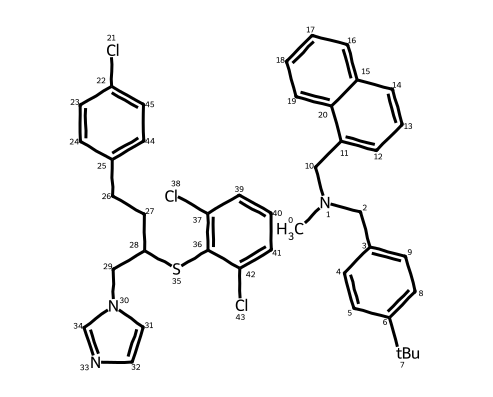 CN(Cc1ccc(C(C)(C)C)cc1)Cc1cccc2ccccc12.Clc1ccc(CCC(Cn2ccnc2)Sc2c(Cl)cccc2Cl)cc1